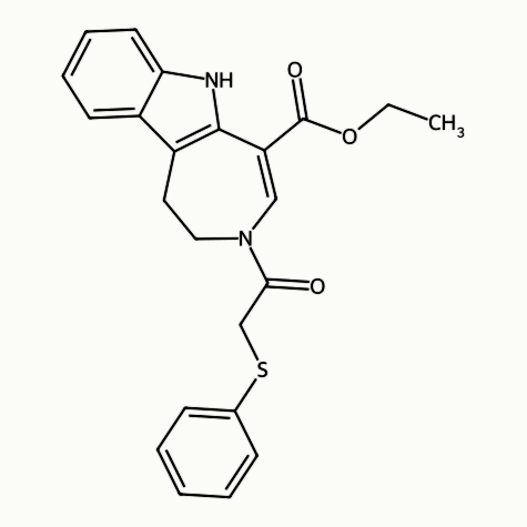 CCOC(=O)C1=CN(C(=O)CSc2ccccc2)CCc2c1[nH]c1ccccc21